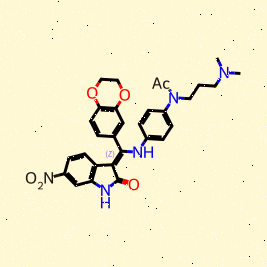 CC(=O)N(CCCN(C)C)c1ccc(N/C(=C2\C(=O)Nc3cc([N+](=O)[O-])ccc32)c2ccc3c(c2)OCCO3)cc1